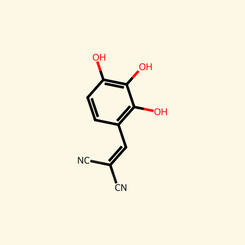 N#CC(C#N)=Cc1ccc(O)c(O)c1O